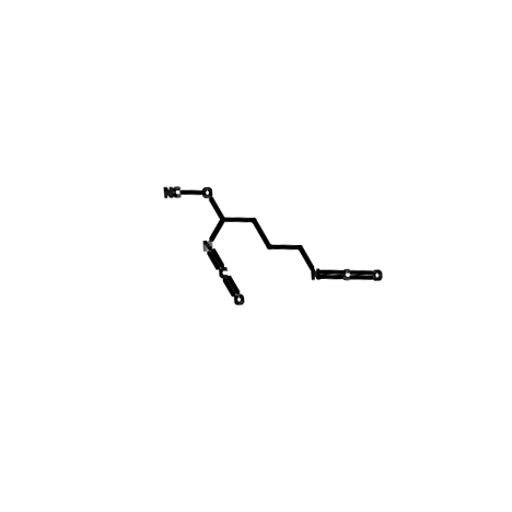 N#COC(CCCN=C=O)N=C=O